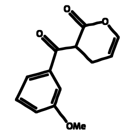 COc1cccc(C(=O)C2CC=COC2=O)c1